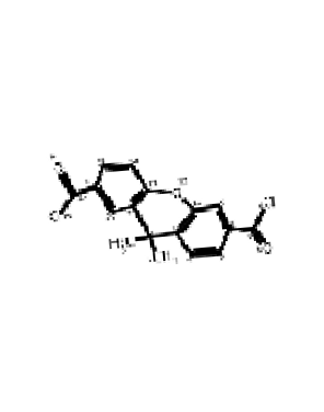 CC1(C)c2ccc(C(=O)Cl)cc2Oc2ccc(C(=O)Cl)cc21